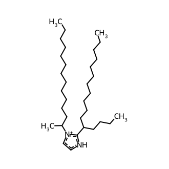 CCCCCCCCCCCCC(C)[n+]1cc[nH]c1C(CCCC)CCCCCCCCCCC